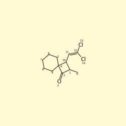 CC1C(=O)C2(CCCCC2)C1C=C(Cl)Cl